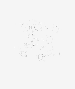 COC(=O)C[C@@H]1N=C(c2ccc(-c3ccccc3OCC(=O)NC(C(=O)N3C[C@H](C)C[C@H]3C(=O)N[C@@H](C)c3ccc(-c4scnc4C)cc3)C(C)(C)C)cc2)c2c(sc(C)c2C)-n2c(C)nnc21